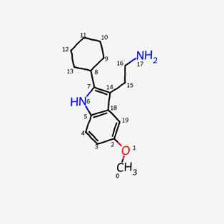 COc1ccc2[nH]c(C3CCCCC3)c(CCN)c2c1